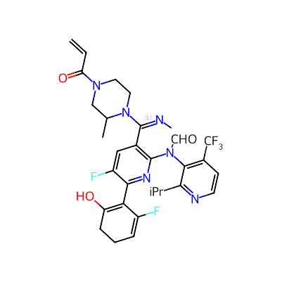 C=CC(=O)N1CCN(/C(=N/C)c2cc(F)c(C3=C(O)CCC=C3F)nc2N(C=O)c2c(C(F)(F)F)ccnc2C(C)C)C(C)C1